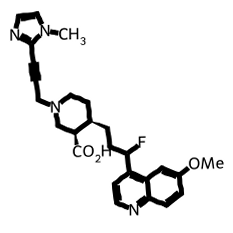 COc1ccc2nccc(C(F)CC[C@@H]3CCN(CC#Cc4nccn4C)C[C@@H]3C(=O)O)c2c1